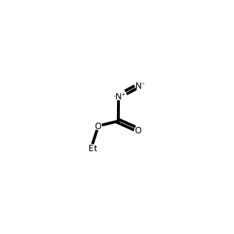 CCOC(=O)[N+]=[N-]